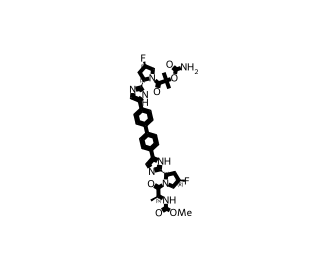 COC(=O)N[C@@H](C)C(=O)N1C[C@H](F)C[C@H]1c1ncc(-c2ccc(-c3ccc(-c4cnc([C@@H]5C[C@@H](F)CN5C(=O)C(C)(C)OC(N)=O)[nH]4)cc3)cc2)[nH]1